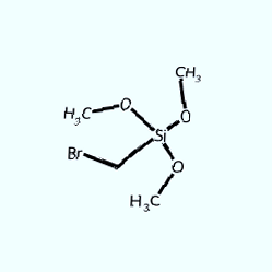 CO[Si](CBr)(OC)OC